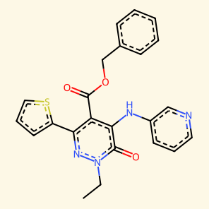 CCn1nc(-c2cccs2)c(C(=O)OCc2ccccc2)c(Nc2cccnc2)c1=O